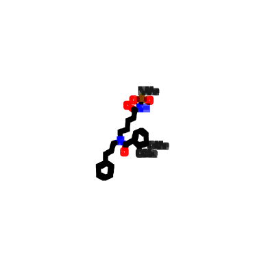 CNS(=O)(=O)NC(=O)CCCCN(CCCc1ccccc1)C(=O)c1cccc(OC)c1OC